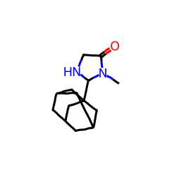 CN1C(=O)CNC1C12CC3CC(CC(C3)C1)C2